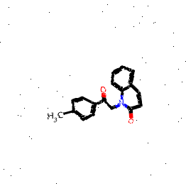 Cc1ccc(C(=O)Cn2c(=O)ccc3ccccc32)cc1